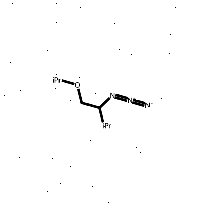 CC(C)OCC(N=[N+]=[N-])C(C)C